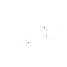 Cn1c(=O)[nH]c2cc3[nH]c(C4=CCCC4)nc3cc21